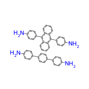 Nc1ccc(-c2c3ccccc3c(-c3ccc(N)cc3)c3ccccc23)cc1.Nc1ccc(-c2ccc(-c3ccc(N)cc3)cc2)cc1